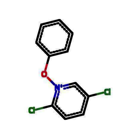 Clc1ccc(Cl)[n+](Oc2ccccc2)c1